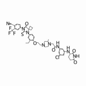 CCc1cc(N2C(=S)N(c3ccc(C#N)c(C(F)(F)F)c3)C(=O)C23CCC3)ccc1OCCN1CCN(CC(=O)Nc2cc(Cl)cc(NC3CCC(=O)NC3=O)c2)C(C)C1